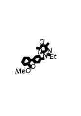 CCc1nc2c(C)c(Cl)c(C)nc2n1Cc1ccc(-c2ccccc2C(=O)OC)cc1